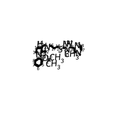 CC(C)Oc1ccccc1N1CC[C@H]2CN(CCCSc3nnc(-c4cnccn4)n3C)C[C@H]21